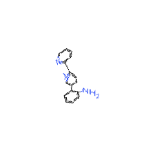 Nc1ccccc1-c1ccc(-c2ccccn2)nc1